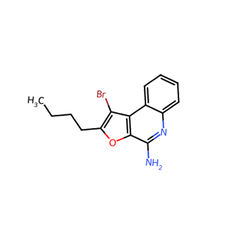 CCCCc1oc2c(N)nc3ccccc3c2c1Br